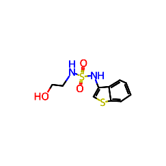 O=S(=O)(NCCO)Nc1csc2ccccc12